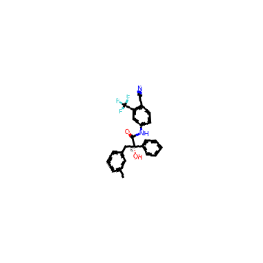 Cc1cccc(C[C@@](O)(C(=O)Nc2ccc(C#N)c(C(F)(F)F)c2)c2ccccc2)c1